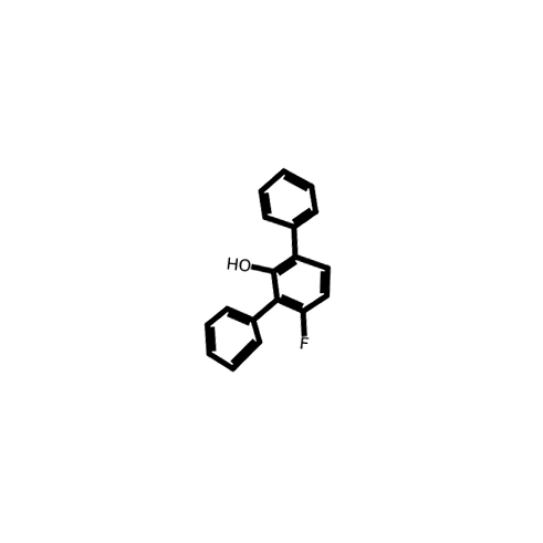 Oc1c(-c2ccccc2)ccc(F)c1-c1ccccc1